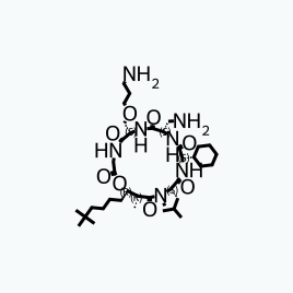 CC(C)C[C@H]1C(=O)N[C@@H](C2CCCCC2)C(=O)N[C@@H](CN)C(=O)N[C@@H](COCCCN)C(=O)NCC(=O)O[C@H](CCCCC(C)(C)C)[C@@H](C)C(=O)N1C